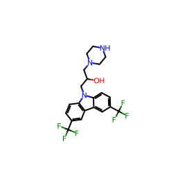 OC(CN1CCNCC1)Cn1c2ccc(C(F)(F)F)cc2c2cc(C(F)(F)F)ccc21